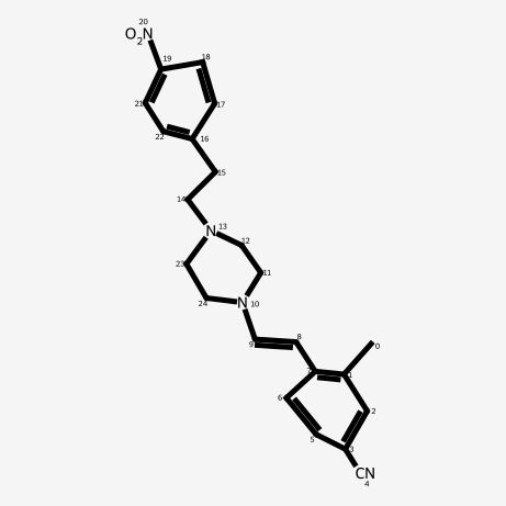 Cc1cc(C#N)ccc1C=CN1CCN(CCc2ccc([N+](=O)[O-])cc2)CC1